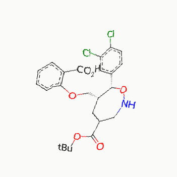 CC(C)(C)OC(=O)C1CNO[C@@H](c2ccc(Cl)c(Cl)c2)[C@@H](COc2ccccc2C(=O)O)C1